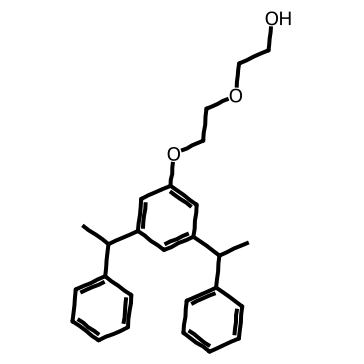 CC(c1ccccc1)c1cc(OCCOCCO)cc(C(C)c2ccccc2)c1